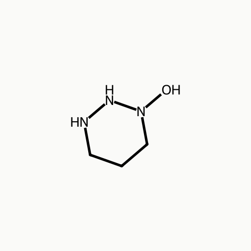 ON1CCCNN1